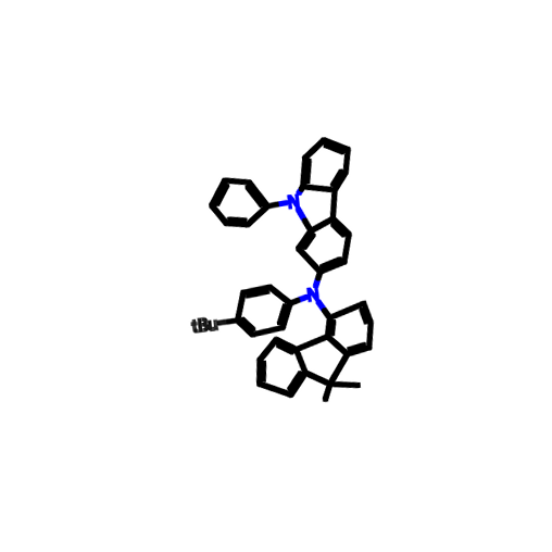 CC(C)(C)c1ccc(N(c2ccc3c4ccccc4n(-c4ccccc4)c3c2)c2cccc3c2-c2ccccc2C3(C)C)cc1